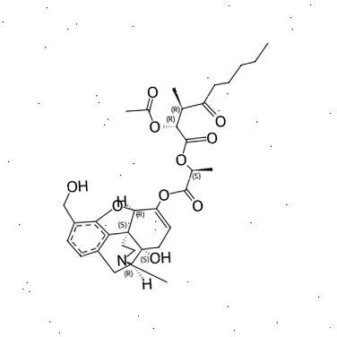 CCCCCC(=O)[C@H](C)[C@@H](OC(C)=O)C(=O)O[C@@H](C)C(=O)OC1=CC[C@@]2(O)[C@H]3Cc4ccc(CO)c5c4[C@@]2(CCN3C)[C@H]1O5